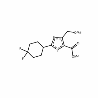 COCc1nc(C2CCC(F)(F)CC2)sc1C(=O)OC